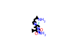 Cc1c(N2CCC(CC3CC3N)C2)c(F)cn2c(=O)n(N)c(=O)c(C3CC3)c12